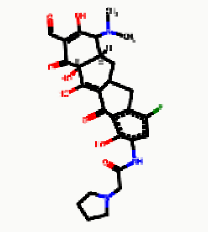 CN(C)C1C(O)=C(C=O)C(=O)[C@@]2(O)C(O)=C3C(=O)c4c(O)c(NC(=O)CN5CCCC5)cc(F)c4CC3C[C@@H]12